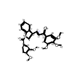 COc1ccc(C(=O)n2cc(/C=C/C(=O)c3cc(OC)c(OC)c(OC)c3)c3ccccc32)cc1OC